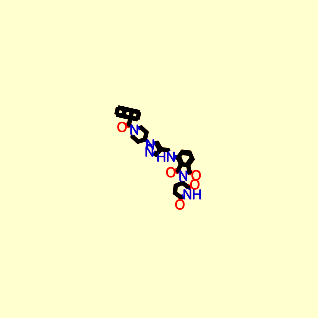 O=C1CCC(N2C(=O)c3cccc(NCc4cnn(C5CCN(C(=O)C67C8C9C%10C8C6C%10C97)CC5)c4)c3C2=O)C(=O)N1